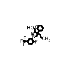 C=CCC1(c2ccccc2)CN(c2cc(C(F)(F)F)ccc2F)N=C1C(=O)O